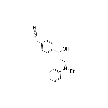 CCN(CCC(O)c1ccc(C=[N+]=[N-])cc1)c1ccccc1